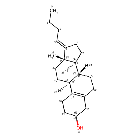 CCCC=C1CC[C@H]2[C@@H]3CCC4=C(CC[C@H](O)C4)[C@H]3CC[C@]12C